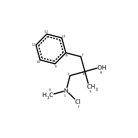 CN(Cl)CC(C)(O)Cc1ccccc1